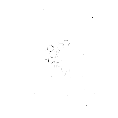 CN(C)CCNC(=O)c1ccccc1Oc1nn(Cc2ccccc2)c2ccccc12